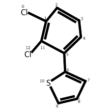 Clc1cccc(-c2c[c]cs2)c1Cl